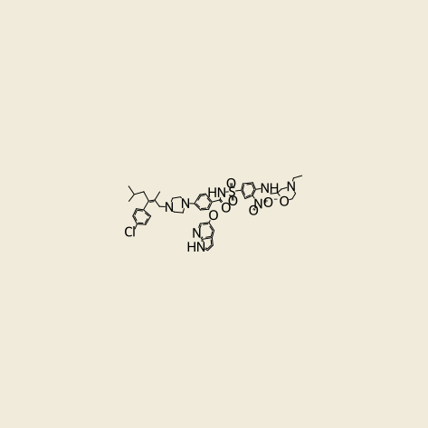 CCN1CCOC(CNc2ccc(S(=O)(=O)NC(=O)c3ccc(N4CCN(C/C(C)=C(/CC(C)C)c5ccc(Cl)cc5)CC4)cc3Oc3cnc4[nH]ccc4c3)cc2[N+](=O)[O-])C1